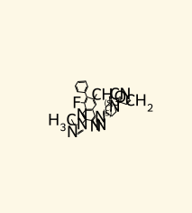 C=CC(=O)N1CC[C@H](n2nnc3c(-n4ccnc4C)nc4c(F)c(-c5ccccc5)c(C)cc4c32)C[C@H]1CC#N